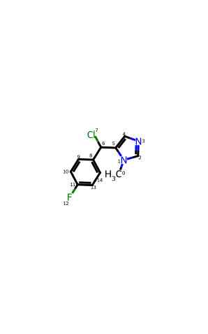 Cn1cncc1C(Cl)c1ccc(F)cc1